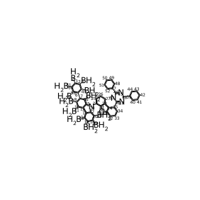 Bc1c(B)c(B)c(-c2c(B)c(B)c3c4c(B)c(B)c(B)c(B)c4n(-c4cccc5c4oc4cccc(-c6nc(-c7ccccc7)nc(-c7ccccc7)n6)c45)c3c2B)c(B)c1B